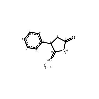 C.O=C1CC(c2ccccc2)C(=O)N1